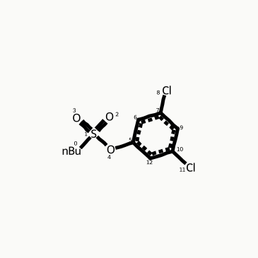 CCCCS(=O)(=O)Oc1cc(Cl)cc(Cl)c1